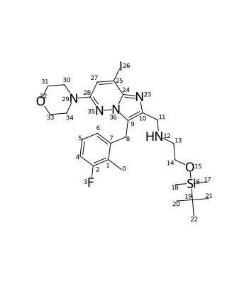 Cc1c(F)cccc1Cc1c(CNCCO[Si](C)(C)C(C)(C)C)nc2c(I)cc(N3CCOCC3)nn12